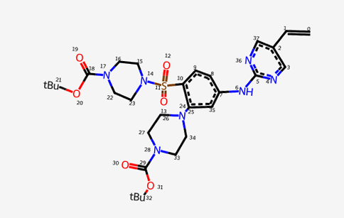 C=Cc1cnc(Nc2ccc(S(=O)(=O)N3CCN(C(=O)OC(C)(C)C)CC3)c(N3CCN(C(=O)OC(C)(C)C)CC3)c2)nc1